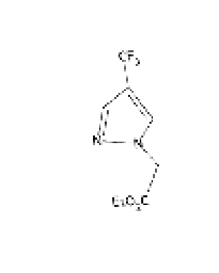 CCOC(=O)Cn1cc(C(F)(F)F)cn1